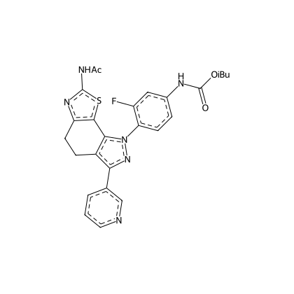 CC(=O)Nc1nc2c(s1)-c1c(c(-c3cccnc3)nn1-c1ccc(NC(=O)OCC(C)C)cc1F)CC2